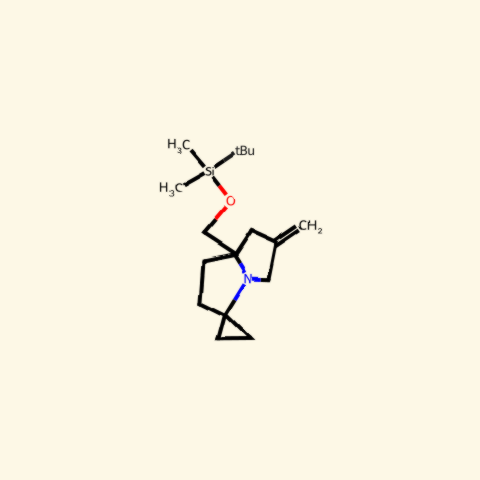 C=C1CN2C3(CC3)CCC2(CO[Si](C)(C)C(C)(C)C)C1